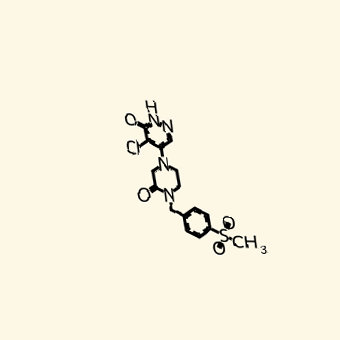 CS(=O)(=O)c1ccc(CN2CCN(c3cn[nH]c(=O)c3Cl)CC2=O)cc1